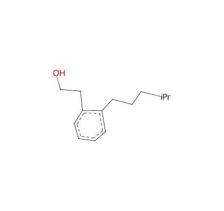 CC(C)CCCc1ccccc1CCO